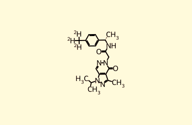 [2H]C([2H])([2H])c1ccc([C@H](C)NC(=O)Cn2ncc3c(c(C)nn3C(C)C)c2=O)cc1